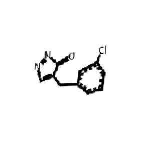 O=C1N=NC=C1Cc1cccc(Cl)c1